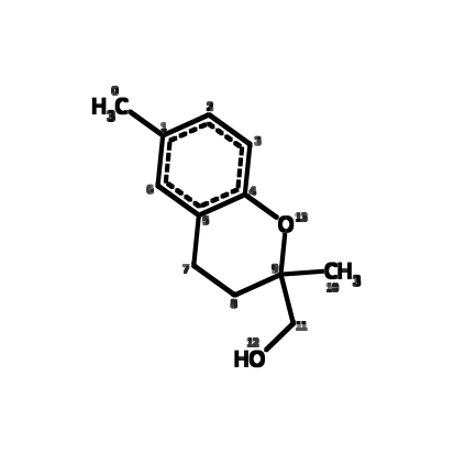 Cc1ccc2c(c1)CCC(C)(CO)O2